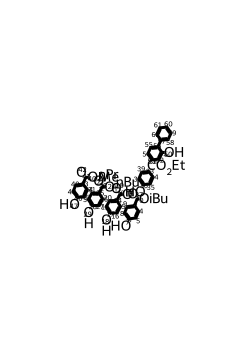 CC(C)COC(=O)c1ccc(O)cc1.CCCCOC(=O)c1ccc(O)cc1.CCCOC(=O)c1ccc(O)cc1.CCOC(=O)c1ccc(O)cc1.COC(=O)c1ccc(O)cc1.Oc1ccccc1-c1ccccc1